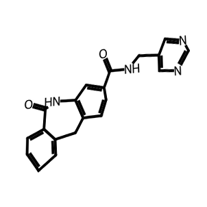 O=C(NCc1cncnc1)c1ccc2c(c1)NC(=O)c1ccccc1C2